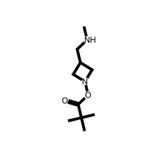 CNCC1CN(OC(=O)C(C)(C)C)C1